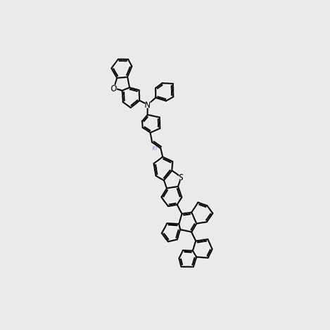 C(=C\c1ccc2c(c1)sc1cc(-c3c4ccccc4c(-c4cccc5ccccc45)c4ccccc34)ccc12)/c1ccc(N(c2ccccc2)c2ccc3oc4ccccc4c3c2)cc1